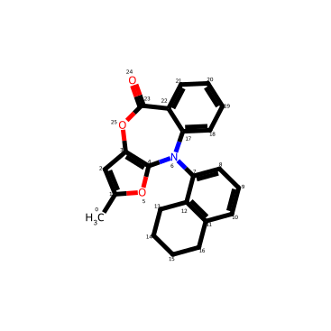 Cc1cc2c(o1)N(c1cccc3c1CCCC3)c1ccccc1C(=O)O2